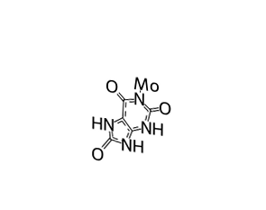 O=c1[nH]c2[nH]c(=O)[n]([Mo])c(=O)c2[nH]1